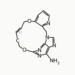 Nc1nc2nc3c1ncn3Cc1ncccc1OC/C=C/CCO2